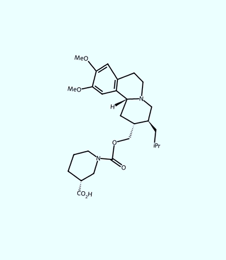 COc1cc2c(cc1OC)[C@H]1C[C@@H](COC(=O)N3CCC[C@@H](C(=O)O)C3)[C@H](CC(C)C)CN1CC2